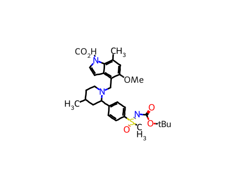 COc1cc(C)c2c(ccn2C(=O)O)c1CN1CCC(C)CC1c1ccc(S(C)(=O)=NC(=O)OC(C)(C)C)cc1